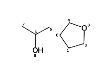 C1CCOC1.CC(C)O